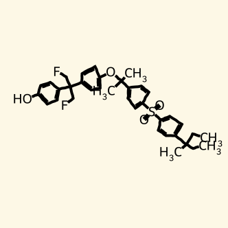 CCC(C)(CC)c1ccc(S(=O)(=O)c2ccc(C(C)(C)Oc3ccc(C(CF)(CF)c4ccc(O)cc4)cc3)cc2)cc1